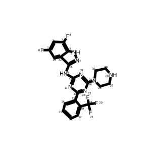 Fc1cc(F)c2[nH]nc(Nc3nc(-c4ccccc4C(F)(F)F)nc(N4CCNCC4)n3)c2c1